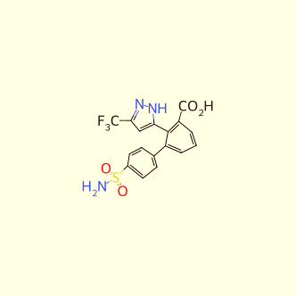 NS(=O)(=O)c1ccc(-c2cccc(C(=O)O)c2-c2cc(C(F)(F)F)n[nH]2)cc1